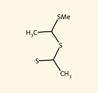 CSC(C)SC(C)[S]